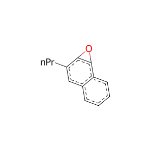 CCCc1cc2ccccc2c2c1O2